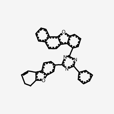 C1=Cc2c(oc3cc(-c4nc(-c5ccccc5)nc(-c5cccc6oc7c8ccccc8ccc7c56)n4)ccc23)CC1